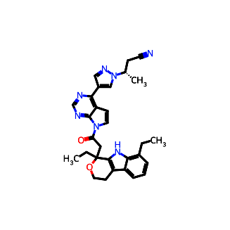 CCc1cccc2c3c([nH]c12)C(CC)(CC(=O)n1ccc2c(-c4cnn([C@@H](C)CC#N)c4)ncnc21)OCC3